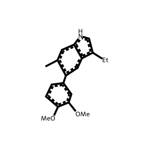 CCc1c[nH]c2cc(C)c(-c3ccc(OC)c(OC)c3)cc12